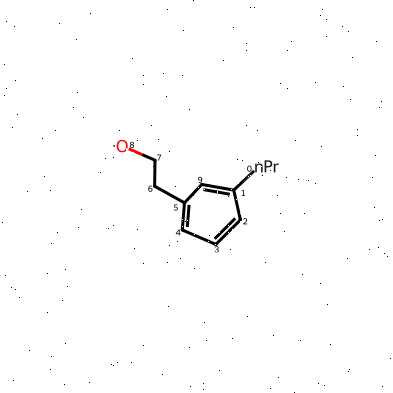 CCCc1cccc(CC[O])c1